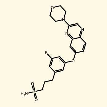 NS(=O)(=O)CCCc1cc(F)cc(Oc2ccc3ncc(N4CCOCC4)nc3c2)c1